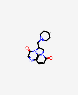 O=c1ccc2ncc(=O)n3c2n1CC3CN1CC[CH]CC1